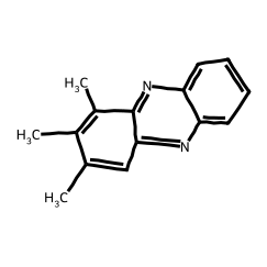 Cc1cc2nc3ccccc3nc2c(C)c1C